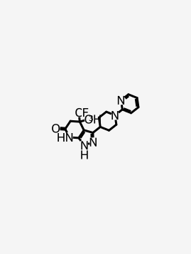 O=C1CC(O)(C(F)(F)F)c2c(C3CCN(c4ccccn4)CC3)n[nH]c2N1